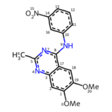 COc1cc2nc(C)nc(Nc3cccc([N+](=O)[O-])c3)c2cc1OC